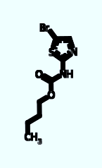 CCCCOC(=O)Nc1ncc(Br)s1